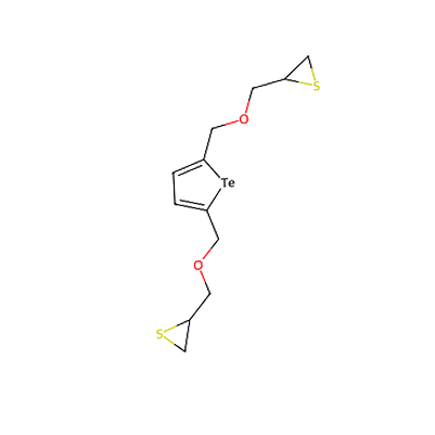 c1cc(COCC2CS2)[te]c1COCC1CS1